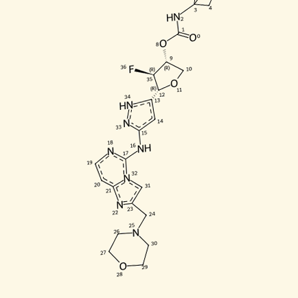 O=C(NC12CC(C1)C2)O[C@@H]1CO[C@H](c2cc(Nc3nccc4nc(CN5CCOCC5)cn34)n[nH]2)[C@H]1F